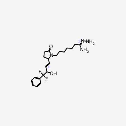 N/N=C(\N)CCCCCCN1C(=O)CCC1/C=C/C(O)C(F)(F)c1ccccc1